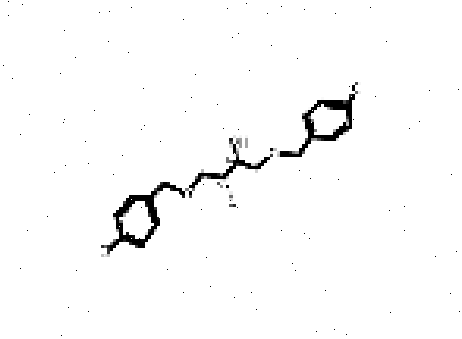 O[C@H](COCc1ccc(Cl)cc1)[C@@H](O)COCc1ccc(Cl)cc1